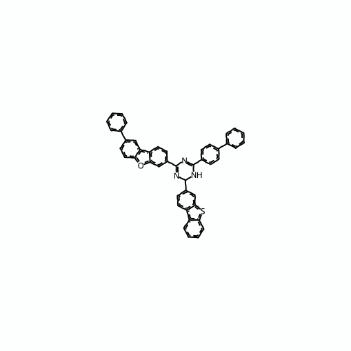 c1ccc(-c2ccc(C3=NC(c4ccc5c(c4)oc4ccc(-c6ccccc6)cc45)=NC(c4ccc5c(c4)sc4ccccc45)N3)cc2)cc1